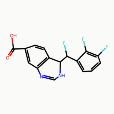 O=C(O)c1ccc2c(c1)N=CNC2C(F)c1cccc(F)c1F